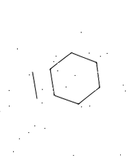 C1CCCCC1.CC